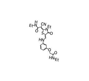 CCNC(=O)COc1cccc(NC=c2sc(=C(C#N)C(=O)NCC)n(CC)c2=O)c1